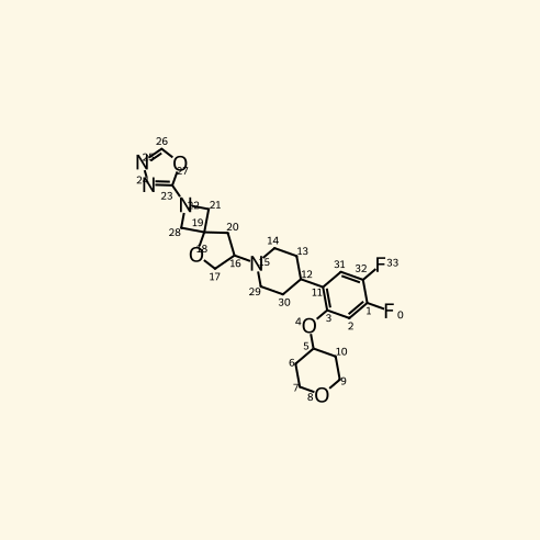 Fc1cc(OC2CCOCC2)c(C2CCN(C3COC4(C3)CN(c3nnco3)C4)CC2)cc1F